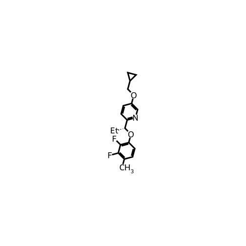 CC[C@@H](Oc1ccc(C)c(F)c1F)c1ccc(OCC2CC2)cn1